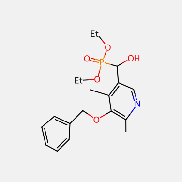 CCOP(=O)(OCC)C(O)c1cnc(C)c(OCc2ccccc2)c1C